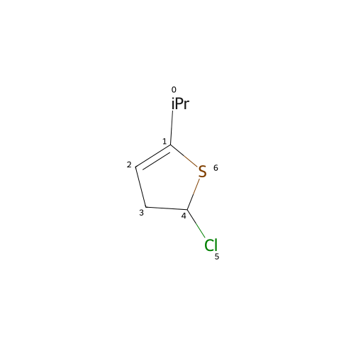 CC(C)C1=CCC(Cl)S1